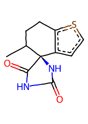 CC1CCc2sccc2[C@@]12NC(=O)NC2=O